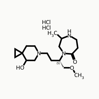 COC[C@H](CCN1CCC2(CC2)C(O)C1)N1CC(C)NCCC1=O.Cl.Cl